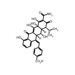 CN(C)[C@@H]1C(=O)C(C(N)=O)=C(O)[C@@]2(O)C(O)=C3C(=O)c4c(O)cccc4/C(=C\c4ccc(C(=O)O)cc4)[C@H]3[C@H](O)[C@@H]12